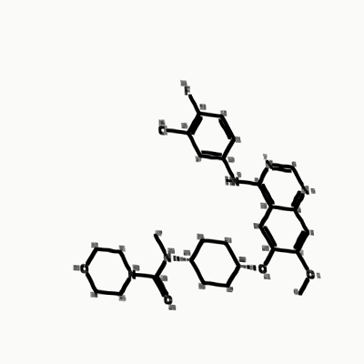 COc1cc2ncnc(Nc3ccc(F)c(Cl)c3)c2cc1O[C@H]1CC[C@@H](N(C)C(=O)N2CCOCC2)CC1